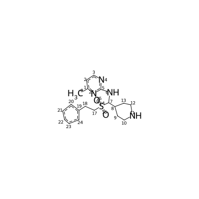 Cc1ccnc(NC(C2CCNCC2)S(=O)(=O)CCc2ccccc2)n1